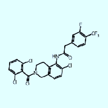 O=C(Cc1ccc(C(F)(F)F)c(F)c1)Nc1c(Cl)ccc2c1CCN(C(=O)c1c(Cl)cccc1Cl)C2